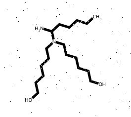 CCCCCC(N)N(CCCCCCO)CCCCCCO